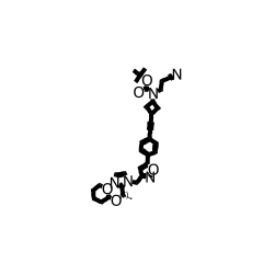 C[C@H](OC1CCCCO1)c1nccn1Cc1cc(-c2ccc(C#CC3CC(N(CCC#N)C(=O)OC(C)(C)C)C3)cc2)on1